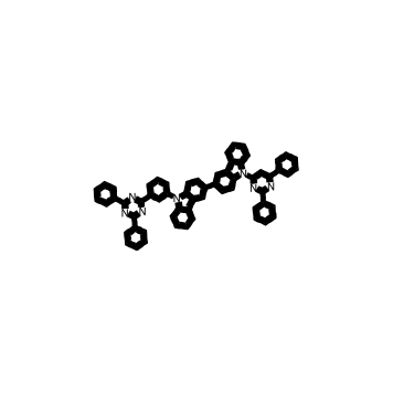 c1ccc(-c2cc(-n3c4ccccc4c4cc(-c5ccc6c(c5)c5ccccc5n6-c5cccc(-c6nc(-c7ccccc7)nc(-c7ccccc7)n6)c5)ccc43)nc(-c3ccccc3)n2)cc1